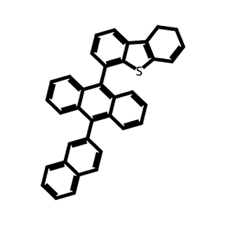 C1=Cc2sc3c(-c4c5ccccc5c(-c5ccc6ccccc6c5)c5ccccc45)cccc3c2CC1